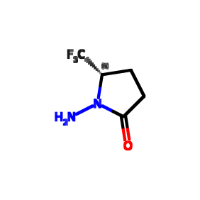 NN1C(=O)CC[C@H]1C(F)(F)F